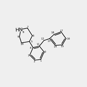 [c]1cccc(C2CCNCC2)c1Cc1ccccc1